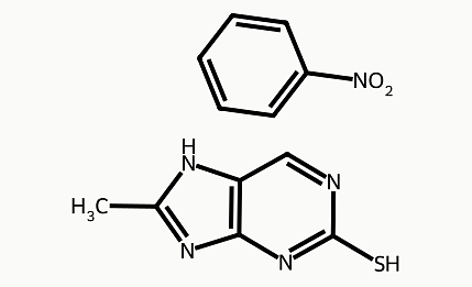 Cc1nc2nc(S)ncc2[nH]1.O=[N+]([O-])c1ccccc1